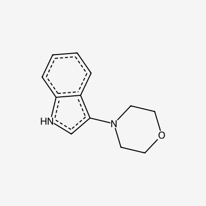 c1ccc2c(N3CCOCC3)c[nH]c2c1